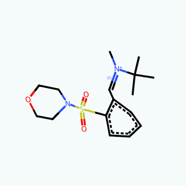 C/[N+](=C/c1ccccc1S(=O)(=O)N1CCOCC1)C(C)(C)C